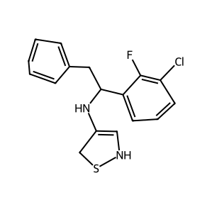 Fc1c(Cl)cccc1C(Cc1ccccc1)NC1=CNSC1